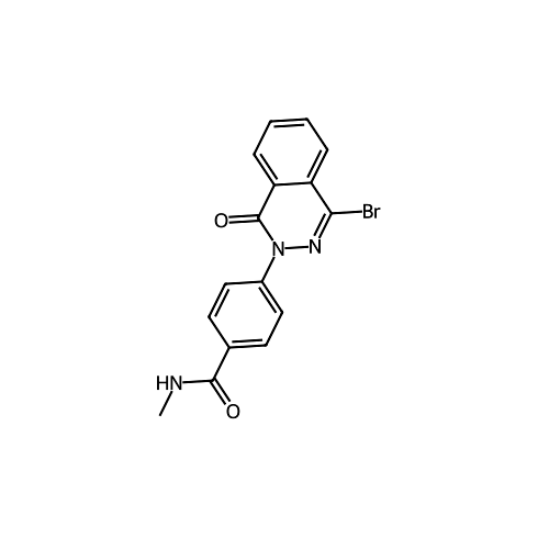 CNC(=O)c1ccc(-n2nc(Br)c3ccccc3c2=O)cc1